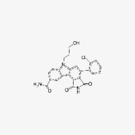 NC(=O)c1ccc2c(c1)c1c3c(c(-c4ccccc4Cl)cc1n2CCCO)C(=O)NC3=O